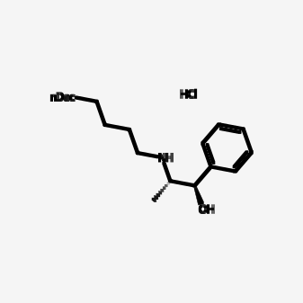 CCCCCCCCCCCCCCN[C@@H](C)[C@H](O)c1ccccc1.Cl